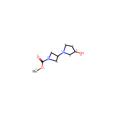 CC(C)(C)OC(=O)N1CC(N2CCC(O)C2)C1